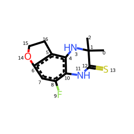 CC1(C)Nc2c3c(cc(F)c2NC1=S)OCC3